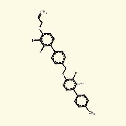 C=CCOc1ccc(-c2ccc(COc3ccc(-c4ccc(C)cc4)c(F)c3F)cc2)c(F)c1F